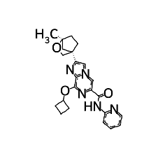 C[C@@]12CC[C@@](c3cn4cc(C(=O)Nc5ccccn5)nc(OC5CCC5)c4n3)(CO1)C2